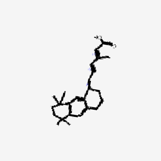 CC(/C=C/C=C1\CCCc2cc3c(cc21)C(C)(C)CCC3(C)C)=C\C(=O)O